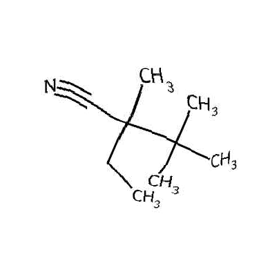 CCC(C)(C#N)C(C)(C)C